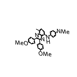 CNc1ccc(Nc2ccc(C)c3nc(-c4ccc(OC)cc4)c(-c4ccc(OC)cc4)nc23)cc1